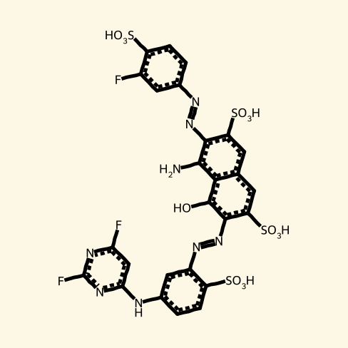 Nc1c(/N=N/c2ccc(S(=O)(=O)O)c(F)c2)c(S(=O)(=O)O)cc2cc(S(=O)(=O)O)c(/N=N/c3cc(Nc4cc(F)nc(F)n4)ccc3S(=O)(=O)O)c(O)c12